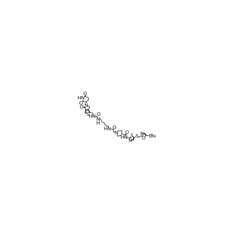 CC(C)(C)c1cnc(CSc2cnc(NC(=O)C3CCN(CC(=O)NCCCCCNC(=O)NCc4scc5c4CN(C4CCC(=O)NC4=O)C5=O)CC3)s2)o1